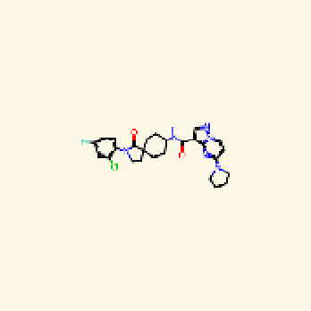 O=C(NC1CCC2(CC1)CCN(c1ccc(F)cc1Cl)C2=O)c1cnn2ccc(N3CCCC3)nc12